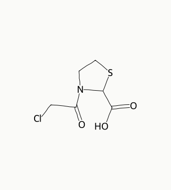 O=C(O)C1SCCN1C(=O)CCl